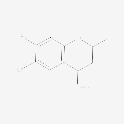 CC1CC(C=O)c2cc(Cl)c(F)cc2O1